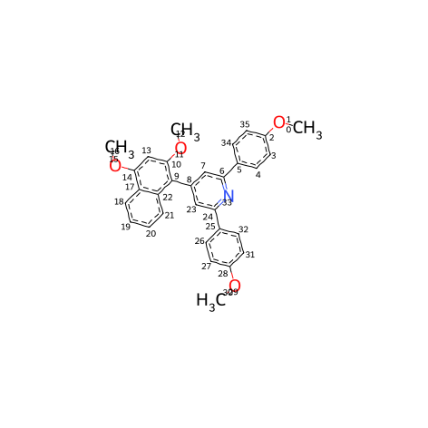 COc1ccc(-c2cc(-c3c(OC)cc(OC)c4ccccc34)cc(-c3ccc(OC)cc3)n2)cc1